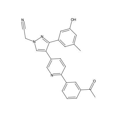 CC(=O)c1cccc(-c2ccc(-c3cn(CC#N)nc3-c3cc(C)cc(O)c3)cn2)c1